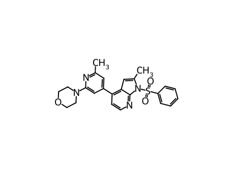 Cc1cc(-c2ccnc3c2cc(C)n3S(=O)(=O)c2ccccc2)cc(N2CCOCC2)n1